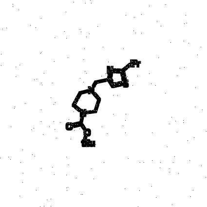 CC(C)c1nc(CN2CCN(C(=O)OC(C)(C)C)CC2)cs1